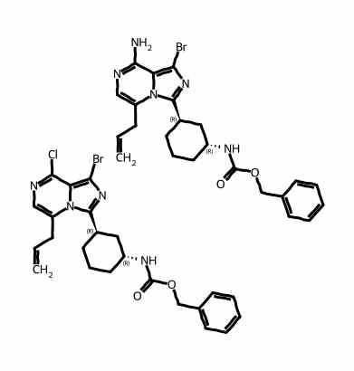 C=CCc1cnc(Cl)c2c(Br)nc([C@@H]3CCC[C@@H](NC(=O)OCc4ccccc4)C3)n12.C=CCc1cnc(N)c2c(Br)nc([C@@H]3CCC[C@@H](NC(=O)OCc4ccccc4)C3)n12